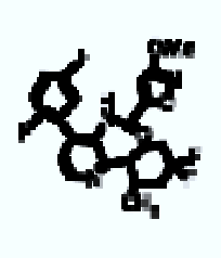 COc1cc(C(=O)Nc2c(-c3cc(F)ccc3F)ccnc2C2CCC(F)(F)CC2C)on1